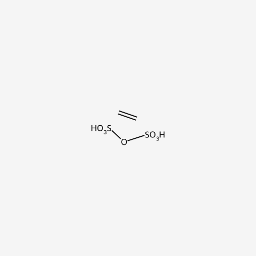 C=C.O=S(=O)(O)OS(=O)(=O)O